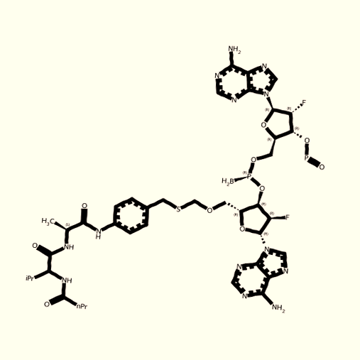 B[P@@](OC[C@H]1O[C@@H](n2cnc3c(N)ncnc32)[C@H](F)[C@@H]1OP=O)O[C@H]1[C@@H](F)[C@H](n2cnc3c(N)ncnc32)O[C@@H]1COCSCc1ccc(NC(=O)[C@H](C)NC(=O)C(NC(=O)CCC)C(C)C)cc1